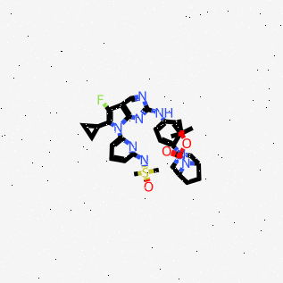 CC(C)(C)OC(=O)N1C2CCC1CN(c1ccc(Nc3ncc4c(F)c(C5CC5)n(-c5cccc(N=S(C)(C)=O)n5)c4n3)cc1)C2